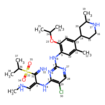 CN/C=C(/Nc1nc(Nc2cc(C)c(C3CCNC(C)C3)cc2OC(C)C)ncc1Cl)C(=N)S(=O)(=O)C(C)C